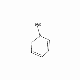 [Mo][P]1C=CC=CC1